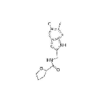 Cc1cc2[nH]c(CNC(=O)C3CCCO3)cc2cc1Cl